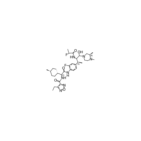 CCc1nonc1C(=O)N[C@H](C(=O)Nc1ccc([C@H](C)C(NC(=O)C(C)F)C(O)N2CCN(C)[C@H](C)C2)cc1F)[C@H]1CC[C@H](C)CC1